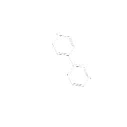 [c]1ncccc1-c1ccncc1